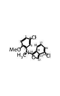 COc1ccc(Cl)cc1N(C)c1occ2c(Cl)cccc12